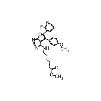 COC(=O)CCCCCNc1ncnc2oc(-c3cccnc3F)c(-c3ccc(OC)cc3)c12